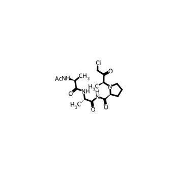 CC(=O)N[C@@H](C)C(=O)N[C@@H](C)C(=O)NC(=O)[C@@H]1CCCN1[C@@H](C)C(=O)CCl